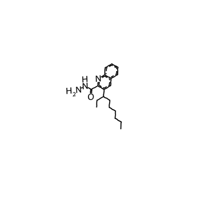 CCCCCCC(CC)c1cc2ccccc2nc1C(=O)NN